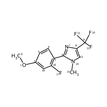 COc1ccc(-c2nc(C(F)(F)F)cn2C)c(F)c1